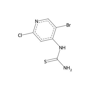 NC(=S)Nc1cc(Cl)ncc1Br